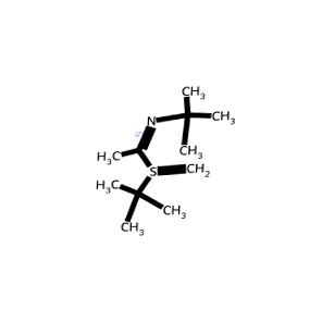 C=S(/C(C)=N\C(C)(C)C)C(C)(C)C